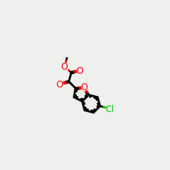 COC(=O)C(=O)c1cc2ccc(Cl)cc2o1